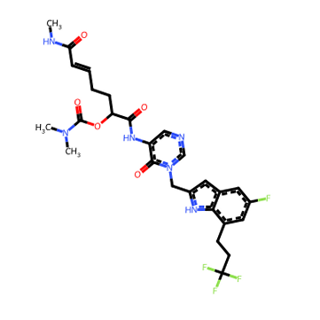 CNC(=O)C=CCCC(OC(=O)N(C)C)C(=O)Nc1cncn(Cc2cc3cc(F)cc(CCC(F)(F)F)c3[nH]2)c1=O